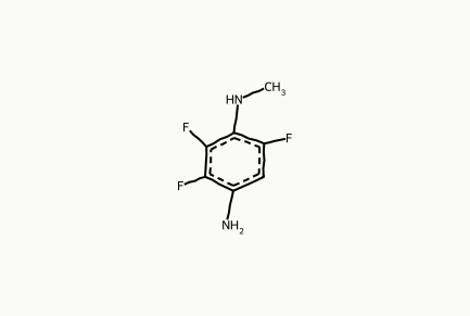 CNc1c(F)cc(N)c(F)c1F